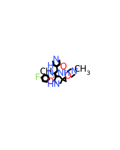 Cc1c(F)cccc1Nc1c(-c2ccncc2OC[C@@H]2CN(C)CCO2)[nH]c2c1C(=O)NCC21CC1